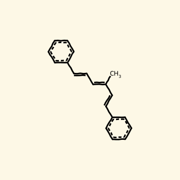 CC(C=Cc1ccccc1)=CC=Cc1ccccc1